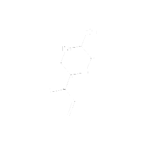 C=CC(C)C1CNC(C(C)(C)C)CO1